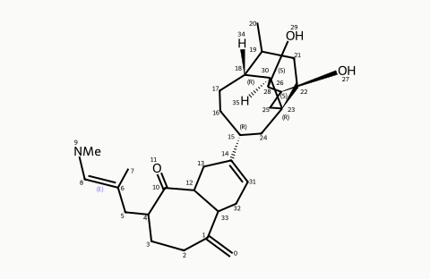 C=C1CCC(C/C(C)=C/NC)C(=O)C2CC([C@@H]3CC[C@@H]4C(C)CC[C@@]5(C3)C[C@H](O)C(O)[C@@H]45)=CCC12